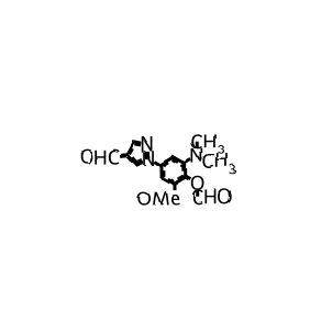 COc1cc(-n2cc(C=O)cn2)cc(N(C)C)c1OC=O